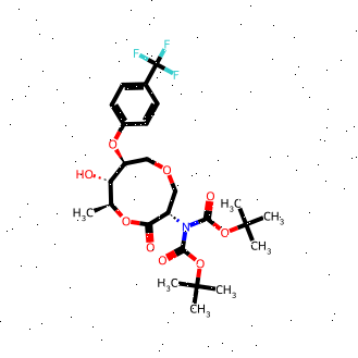 C[C@@H]1OC(=O)[C@@H](N(C(=O)OC(C)(C)C)C(=O)OC(C)(C)C)COC[C@H](Oc2ccc(C(F)(F)F)cc2)[C@H]1O